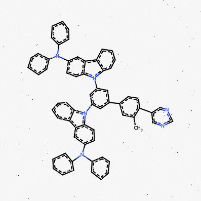 Cc1cc(-c2cc(-n3c4ccccc4c4cc(N(c5ccccc5)c5ccccc5)ccc43)cc(-n3c4ccccc4c4cc(N(c5ccccc5)c5ccccc5)ccc43)c2)ccc1-c1cncnc1